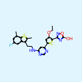 CCOc1cc(-c2cc(NCCc3c(C)sc4c(C)cc(F)cc34)ncn2)sc1-c1noc(O)n1